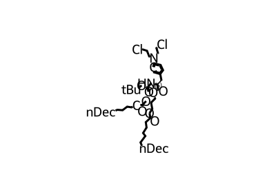 CCCCCCCCCCCCCCCC(=O)OCC(COC(=O)[C@H](Cc1ccc(N(CCCl)CCCl)cc1)NC(=O)OC(C)(C)C)OC(=O)CCCCCCCCCCCCCCC